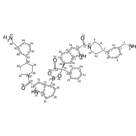 NCc1cccc(C2CCN(C(=O)c3cc4ccc([C@@]5(c6ccccc6)OB(c6cccc7[nH]c(C(=O)N8CCC(c9cccc(CN)c9)CC8)cc67)OC5=O)cc4[nH]3)CC2)c1